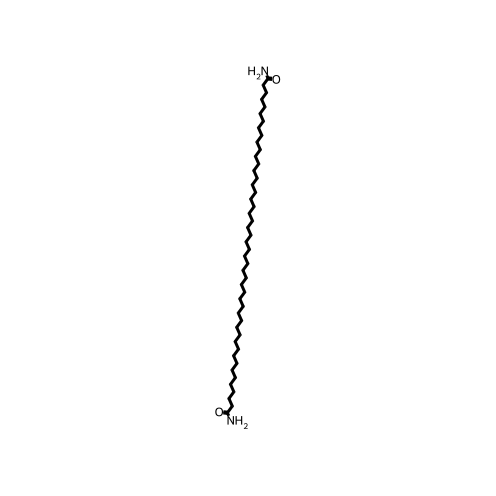 NC(=O)CCCCCCCCCCCCCCCCCCCCCCCCCCCCCCCCCCCCCCCCCCCCCCC(N)=O